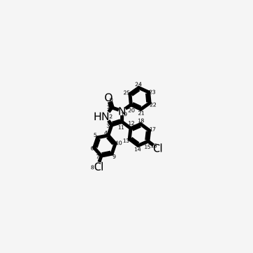 O=c1[nH]c(-c2ccc(Cl)cc2)c(-c2ccc(Cl)cc2)n1-c1ccccc1